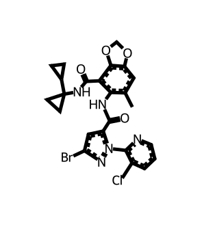 Cc1cc2c(c(C(=O)NC3(C4CC4)CC3)c1NC(=O)c1cc(Br)nn1-c1ncccc1Cl)OCO2